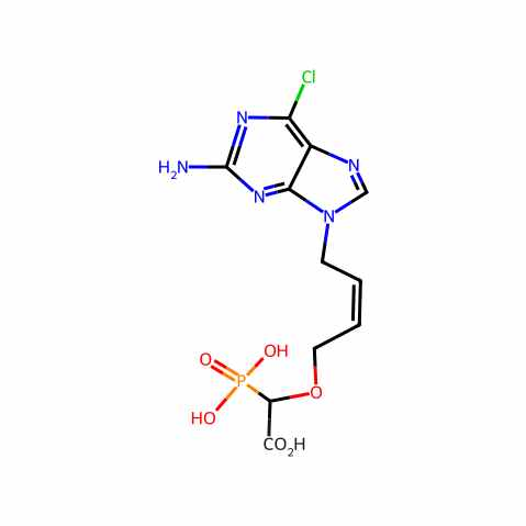 Nc1nc(Cl)c2ncn(C/C=C\COC(C(=O)O)P(=O)(O)O)c2n1